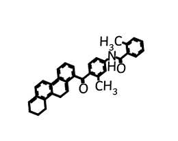 Cc1ccccc1C(=O)Nc1ccc(C(=O)c2cccc3c2=CCc2c4c(ccc2=3)=CCCC4)c(C)c1